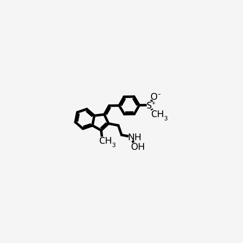 CC1=C(CCNO)C(=Cc2ccc([S+](C)[O-])cc2)c2ccccc21